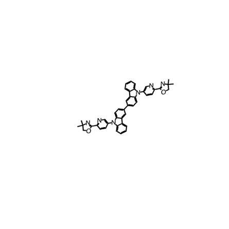 CC1(C)COC(c2ccc(-n3c4ccccc4c4cc(-c5ccc6c(c5)c5ccccc5n6-c5ccc(C6=NC(C)(C)CO6)nc5)ccc43)cn2)=N1